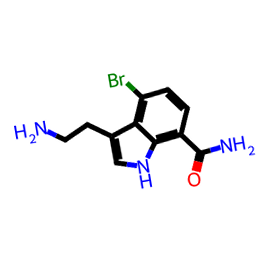 NCCc1c[nH]c2c(C(N)=O)ccc(Br)c12